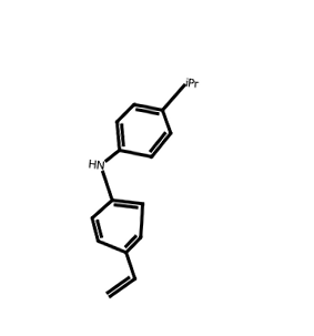 C=Cc1ccc(Nc2ccc(C(C)C)cc2)cc1